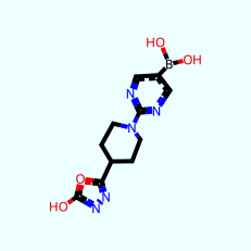 OB(O)c1cnc(N2CCC(c3nnc(O)o3)CC2)nc1